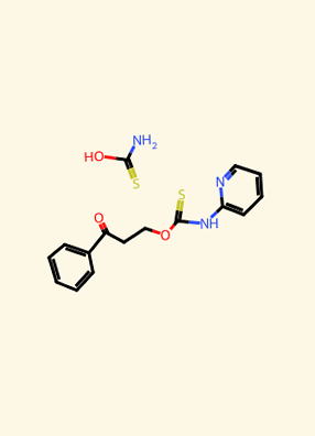 NC(O)=S.O=C(CCOC(=S)Nc1ccccn1)c1ccccc1